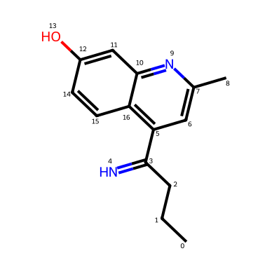 CCCC(=N)c1cc(C)nc2cc(O)ccc12